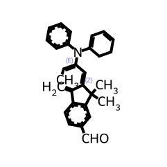 C=C1/C(=C\C(=C/C)N(C2=CC=CCC2)c2ccccc2)C(C)(C)c2cc(C=O)ccc21